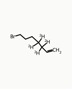 [2H]C([2H])(C=C)C([2H])([2H])CCCBr